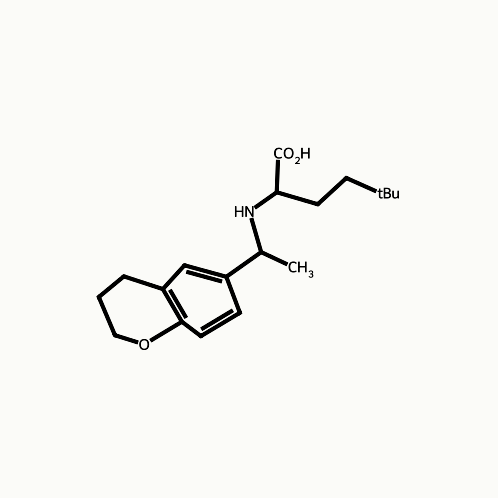 CC(NC(CCC(C)(C)C)C(=O)O)c1ccc2c(c1)CCCO2